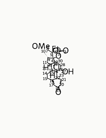 CCC(=O)O[C@]1(C(=O)COC)[C@@H](C)C[C@H]2[C@@H]3CCC4=CC(=O)C=C[C@]4(C)[C@@]3(Cl)[C@@H](O)C[C@@]21C